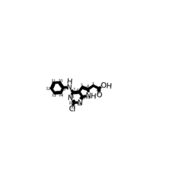 O=C(O)Cc1cc2c(Nc3ccccc3)nc(Cl)nc2[nH]1